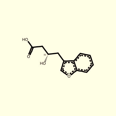 O=C(O)C[C@@H](O)Cc1coc2ccccc12